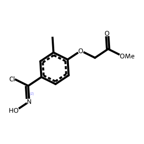 COC(=O)COc1ccc(/C(Cl)=N/O)cc1C